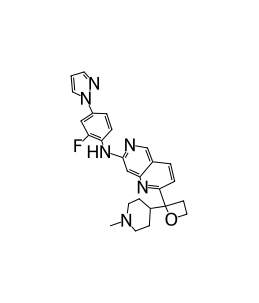 CN1CCC(C2(c3ccc4cnc(Nc5ccc(-n6cccn6)cc5F)cc4n3)CCO2)CC1